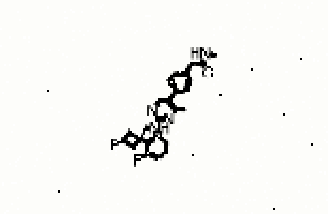 CNC(=O)Cc1ccc(-c2cnc(NC[C@]3(c4ncccc4F)C[C@H](F)C3)nc2C)cc1